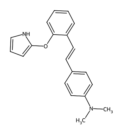 CN(C)c1ccc(C=Cc2ccccc2Oc2ccc[nH]2)cc1